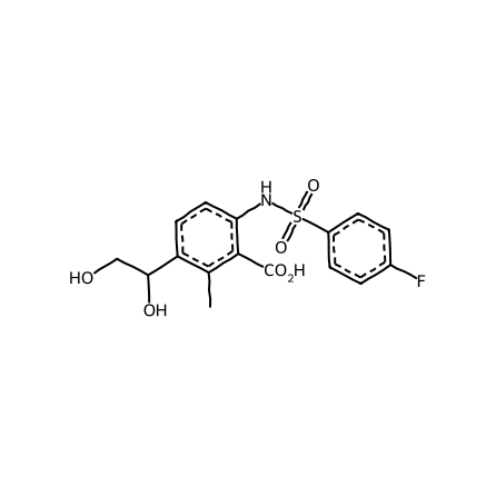 Cc1c(C(O)CO)ccc(NS(=O)(=O)c2ccc(F)cc2)c1C(=O)O